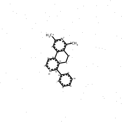 Cc1cc2c(c(C)n1)CCc1c-2ccnc1-c1ccccc1